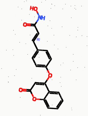 O=C(/C=C/c1ccc(Oc2cc(=O)oc3ccccc23)cc1)NO